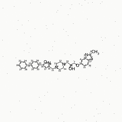 Cc1nc2cc(OC[C@@H](O)CN3CCN(Cc4cc(-c5ccc(-c6ccccc6)cc5)on4)CC3)ccc2s1